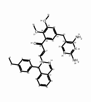 CCc1ccc(C2c3ccccc3C=NN2C=CC(=O)c2cc(Cc3cnc(N)nc3N)cc(OC)c2OC)cc1